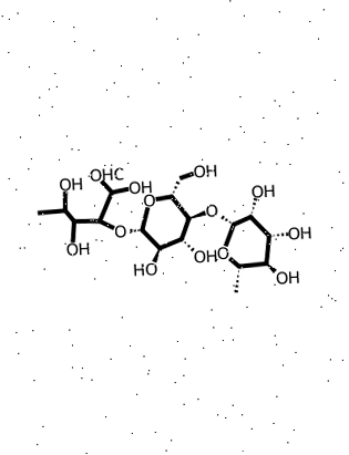 CC(O)C(O)C(O[C@@H]1O[C@H](CO)[C@@H](O[C@H]2O[C@@H](C)[C@H](O)[C@@H](O)[C@H]2O)[C@H](O)[C@H]1O)C(O)C=O